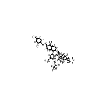 C[C@H]1[C@@H](NC(=Nc2ccc3c(=O)n(CCc4ccc(Cl)cc4Cl)cnc3c2)N2CC[C@H](C)[C@H]2COC(=O)C(F)(F)F)C[C@H]2C[C@H]1C2(C)C